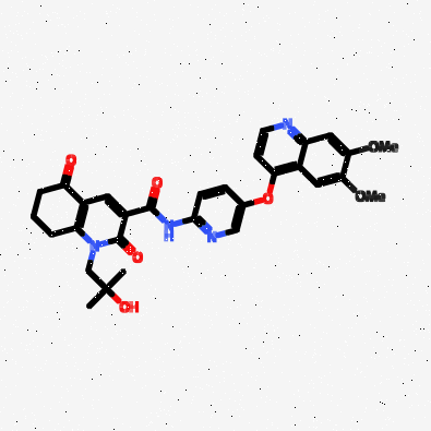 COc1cc2nccc(Oc3ccc(NC(=O)c4cc5c(n(CC(C)(C)O)c4=O)CCCC5=O)nc3)c2cc1OC